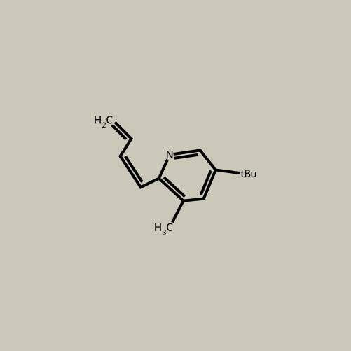 C=C/C=C\c1ncc(C(C)(C)C)cc1C